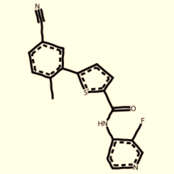 Cc1ccc(C#N)cc1-c1ccc(C(=O)Nc2ccncc2F)s1